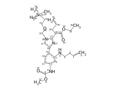 C=CCCNc1cc(NC(=O)OC)ccc1-c1cn(COCC[Si](C)(C)C)c(C(CC=C)C(=O)OCC)n1